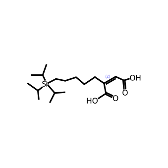 CC(C)[Si](CCCCC/C(=C/C(=O)O)C(=O)O)(C(C)C)C(C)C